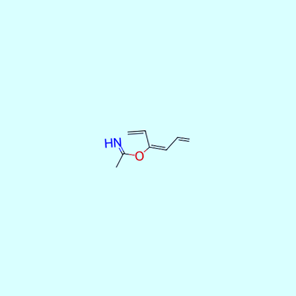 C=C/C=C(\C=C)OC(C)=N